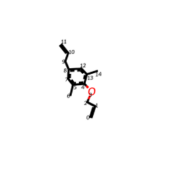 C=CCOc1c(C)cc(CC=C)cc1C